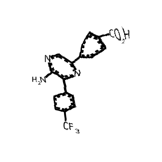 Nc1ncc(-c2ccc(C(=O)O)cc2)nc1-c1ccc(C(F)(F)F)cc1